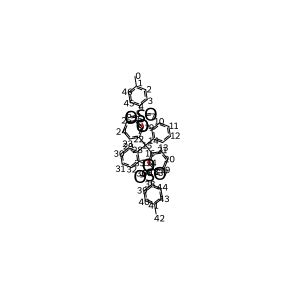 Cc1ccc(S(=O)(=O)Oc2ccccc2C(c2ccccc2)(c2ccccc2)c2ccccc2OS(=O)(=O)c2ccc(C)cc2)cc1